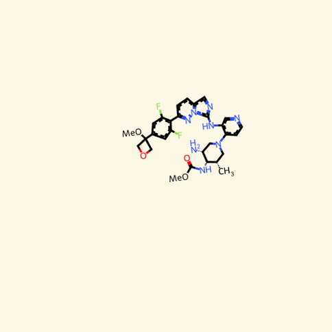 COC(=O)N[C@@H]1[C@H](N)CN(c2ccncc2Nc2ncc3ccc(-c4c(F)cc(C5(OC)COC5)cc4F)nn23)C[C@@H]1C